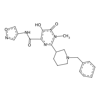 Cn1c(C2CCCN(Cc3ccccc3)C2)nc(C(=O)Nc2cnoc2)c(O)c1=O